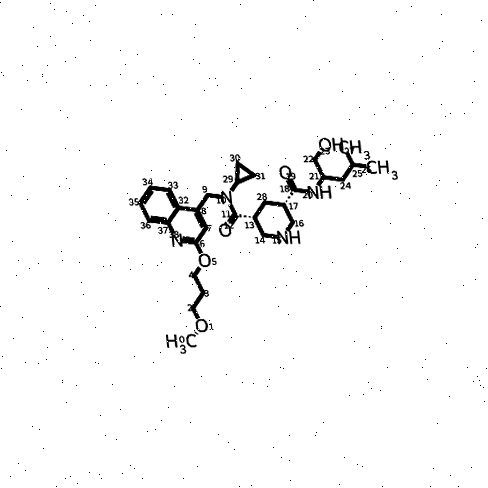 COCCCOc1cc(CN(C(=O)[C@H]2CNC[C@@H](C(=O)NC(CO)CC(C)C)C2)C2CC2)c2ccccc2n1